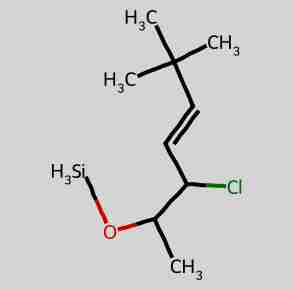 CC(O[SiH3])C(Cl)C=CC(C)(C)C